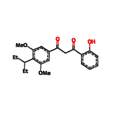 CCC(CC)c1c(OC)cc(C(=O)CC(=O)c2ccccc2O)cc1OC